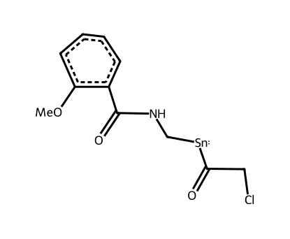 COc1ccccc1C(=O)N[CH2][Sn][C](=O)CCl